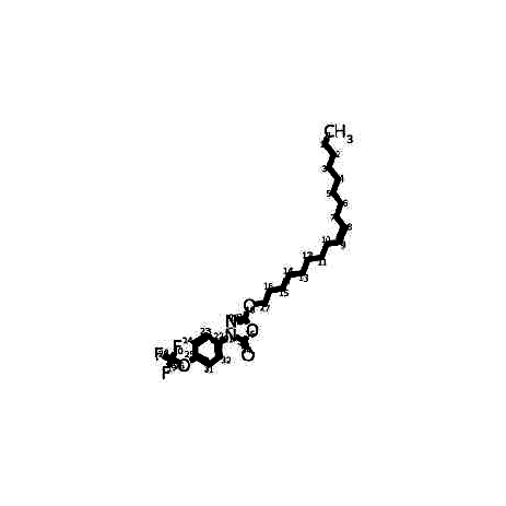 CCCCCCCC/C=C\CCCCCCCCOc1nn(-c2ccc(OC(F)(F)F)cc2)c(=O)o1